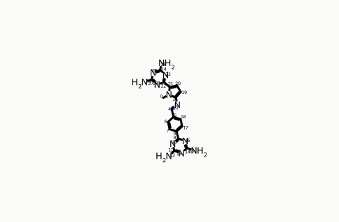 Cn1c(/N=C/c2ccc(-c3nc(N)nc(N)n3)cc2)ccc1-c1nc(N)nc(N)n1